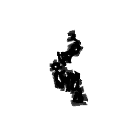 C=C(Nc1cccc(-c2cccc(C3=Nc4cc(CN5CCCC5)cnc4C3)c2C)c1C)c1nc2c(s1)CN(CCC)CC2